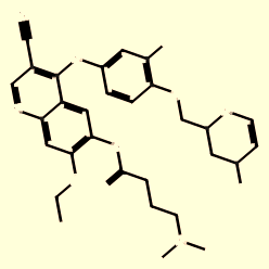 CCOc1cc2ncc(C#N)c(Nc3ccc(OCC4CC(Cl)C=CN4)c(Cl)c3)c2cc1NC(=O)CCCN(C)C